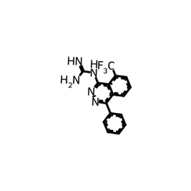 N=C(N)Nc1nnc(-c2ccccc2)c2cccc(C(F)(F)F)c12